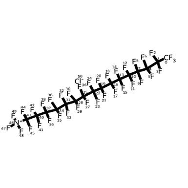 FC(F)(F)C(F)(F)C(F)(F)C(F)(F)C(F)(F)C(F)(F)C(F)(F)C(F)(F)C(F)(F)C(F)(F)C(F)(F)C(F)(F)C(F)(F)C(F)(F)C(F)(F)C(F)(F)[N+](F)(F)F.[Cl-]